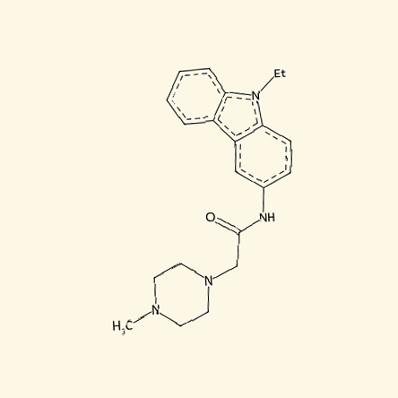 CCn1c2ccccc2c2cc(NC(=O)CN3CCN(C)CC3)ccc21